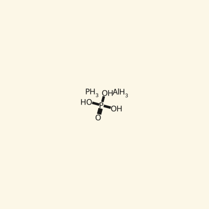 O=P(O)(O)O.P.[AlH3]